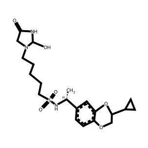 C[C@@H](NS(=O)(=O)CCCCCN1CC(=O)NC1O)c1ccc2c(c1)OC(C1CC1)CO2